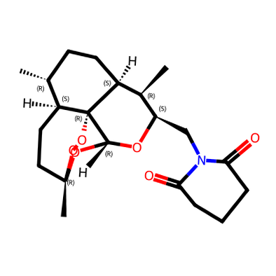 C[C@H]1[C@@H](CN2C(=O)CCCC2=O)O[C@@H]2O[C@@]3(C)CC[C@H]4[C@H](C)CC[C@@H]1[C@@]24OO3